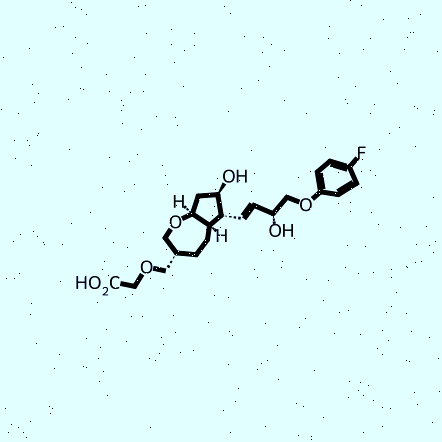 O=C(O)COC[C@H]1CC[C@@H]2[C@@H](C=C[C@@H](O)COc3ccc(F)cc3)[C@H](O)C[C@@H]2OC1